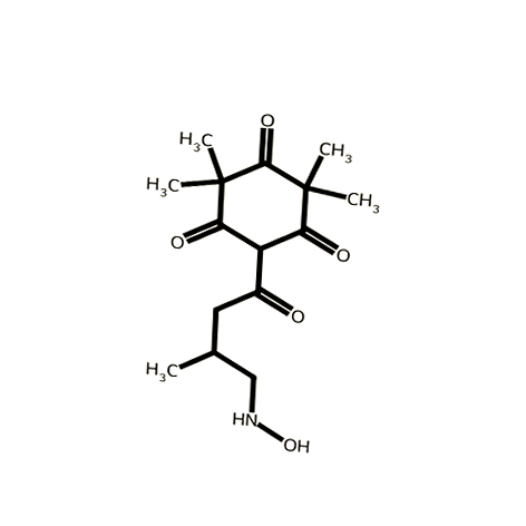 CC(CNO)CC(=O)C1C(=O)C(C)(C)C(=O)C(C)(C)C1=O